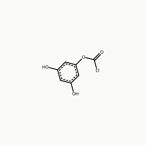 O=C(Cl)Oc1cc(O)cc(O)c1